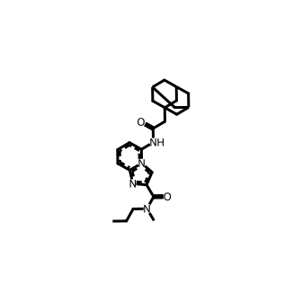 CCCN(C)C(=O)c1cn2c(NC(=O)CC34CC5CC(CC(C5)C3)C4)cccc2n1